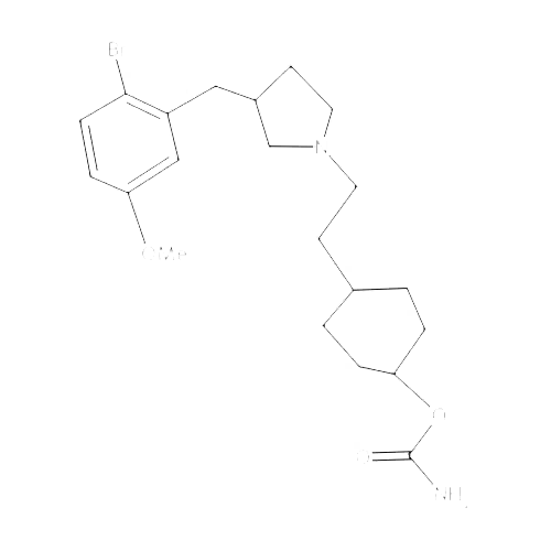 COc1ccc(Br)c(CC2CCN(CCC3CCC(OC(N)=O)CC3)C2)c1